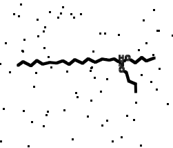 CCCCCCCCCCCCCCCC[SiH](OCCCC)OCCCC